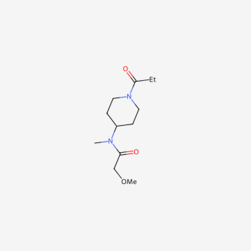 CCC(=O)N1CCC(N(C)C(=O)COC)CC1